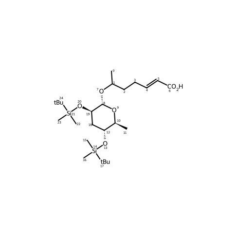 CC(CC/C=C/C(=O)O)O[C@@H]1O[C@@H](C)[C@H](O[Si](C)(C)C(C)(C)C)C[C@H]1O[Si](C)(C)C(C)(C)C